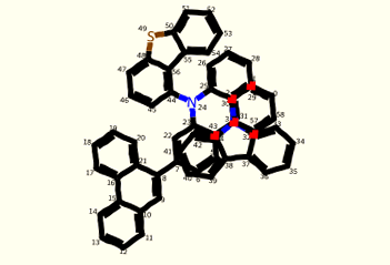 c1ccc(-c2ccc(-c3cc4ccccc4c4ccccc34)cc2N(c2ccccc2-n2c3ccccc3c3ccccc32)c2cccc3sc4ccccc4c23)cc1